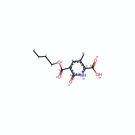 CCCCOC(=O)c1cc(C)c(C(=O)O)[nH]c1=O